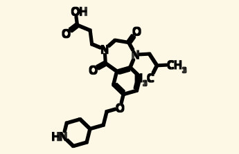 CC(C)CN1C(=O)CN(CCC(=O)O)C(=O)c2cc(OCCC3CCNCC3)ccc21